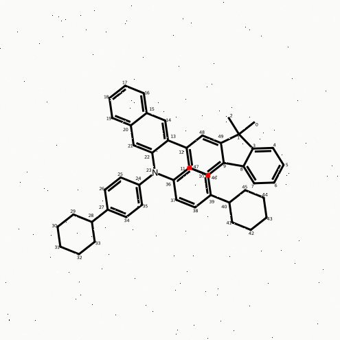 CC1(C)c2ccccc2-c2ccc(-c3cc4ccccc4cc3N(c3ccc(C4CCCCC4)cc3)c3ccc(C4CCCCC4)cc3)cc21